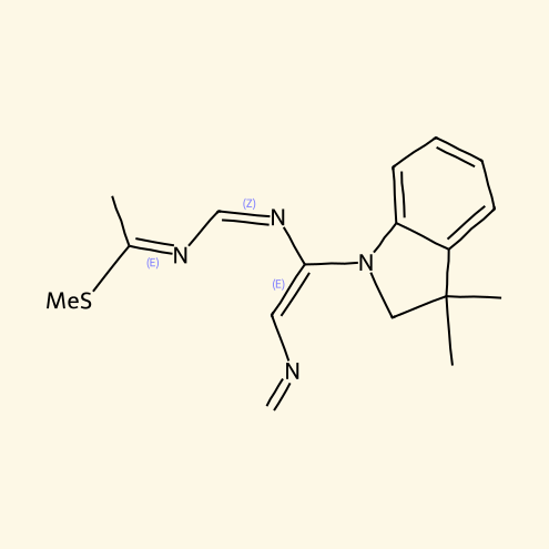 C=N/C=C(/N=C\N=C(/C)SC)N1CC(C)(C)c2ccccc21